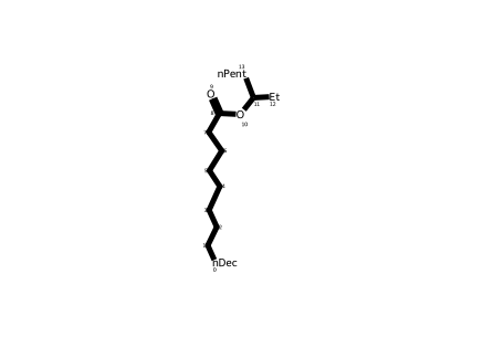 CCCCCCCCCCCCCCCCCC(=O)OC(CC)CCCCC